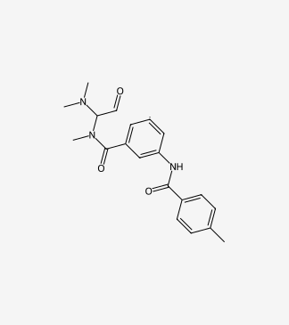 Cc1ccc(C(=O)Nc2c[c]cc(C(=O)N(C)C(C=O)N(C)C)c2)cc1